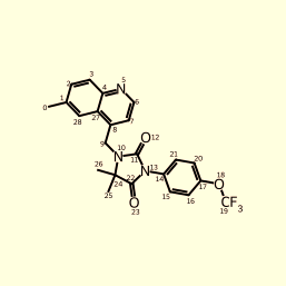 Cc1ccc2nccc(CN3C(=O)N(c4ccc(OC(F)(F)F)cc4)C(=O)C3(C)C)c2c1